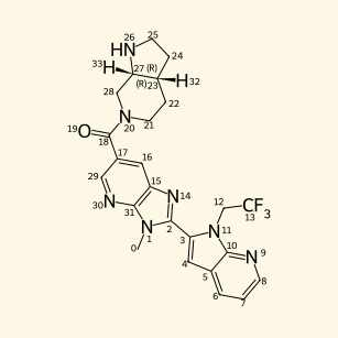 Cn1c(-c2cc3cccnc3n2CC(F)(F)F)nc2cc(C(=O)N3CC[C@H]4CCN[C@H]4C3)cnc21